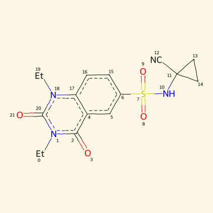 CCn1c(=O)c2cc(S(=O)(=O)NC3(C#N)CC3)ccc2n(CC)c1=O